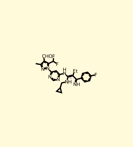 CC/C(C(=N)c1ccc(F)cc1)=C(/NCC1CC1)Nc1cc(-n2nc(C)c(C=O)c2C(F)F)ncn1